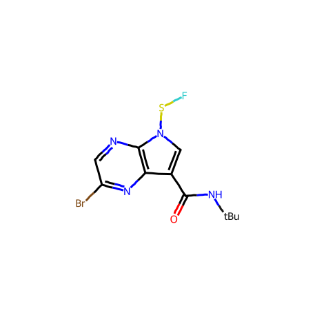 CC(C)(C)NC(=O)c1cn(SF)c2ncc(Br)nc12